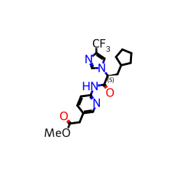 COC(=O)Cc1ccc(NC(=O)[C@H](CC2CCCC2)n2cnc(C(F)(F)F)c2)nc1